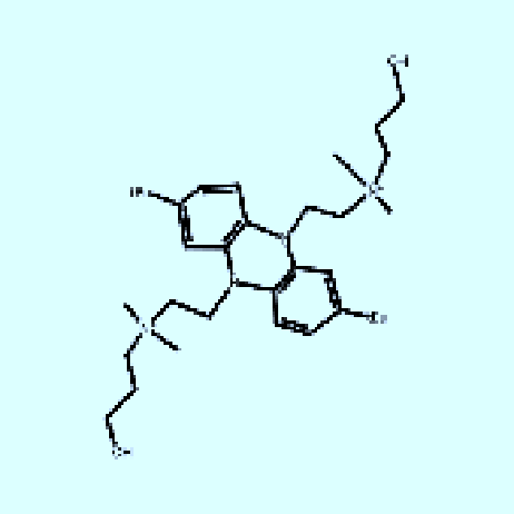 CC(C)(C)c1ccc2c(c1)N(CC[N+](C)(C)CCCO)c1ccc(C(C)(C)C)cc1N2CC[N+](C)(C)CCCO